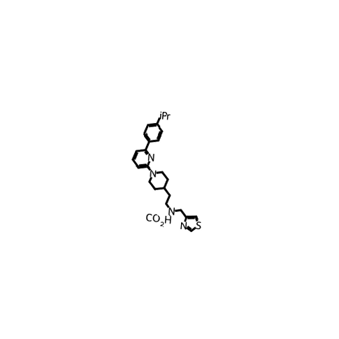 CC(C)c1ccc(-c2cccc(N3CCC(CCN(Cc4cscn4)C(=O)O)CC3)n2)cc1